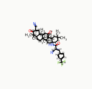 CC1(C)CC[C@]2(NC(=O)/C(C#N)=C/c3ccc(C(F)(F)F)cc3)CC[C@]3(C)[C@H](C(=O)C=C4[C@@]5(C)C=C(C#N)C(=O)C(C)(C)C5CC[C@]43C)[C@@H]2C1